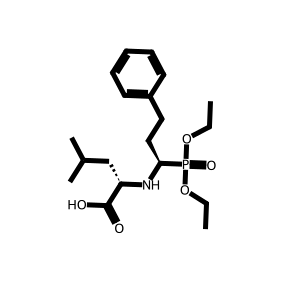 CCOP(=O)(OCC)[C@H](CCc1ccccc1)N[C@@H](CC(C)C)C(=O)O